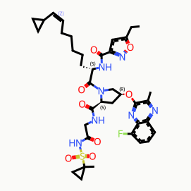 CCc1cc(C(=O)N[C@@H](CCCCC/C=C\C2CC2)C(=O)N2C[C@H](Oc3nc4c(F)cccc4nc3C)C[C@H]2C(=O)NCC(=O)NS(=O)(=O)C2(C)CC2)no1